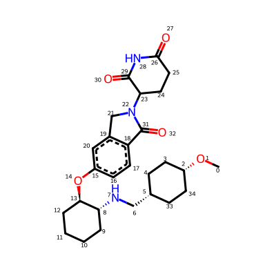 CO[C@H]1CC[C@@H](CN[C@@H]2CCCC[C@H]2Oc2ccc3c(c2)CN(C2CCC(=O)NC2=O)C3=O)CC1